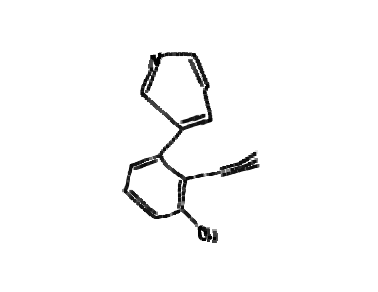 C#Cc1c(O)cccc1-c1cccnc1